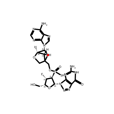 Nc1nc2c(nnn2[C@@H]2O[C@H](CO)[C@H](F)[C@H]2P(=O)(S)OCC23CO[C@@H]([C@H](n4cnc5c(N)ncnc54)O2)[C@@H]3O)c(=O)[nH]1